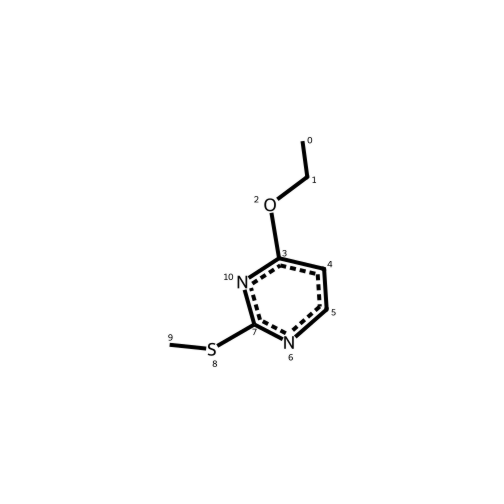 CCOc1ccnc(SC)n1